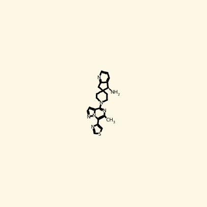 Cc1nc(N2CCC3(CC2)Cc2ncccc2[C@H]3N)c2ccnn2c1-c1cscn1